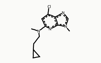 CN(CCC1CC1)c1cc(Cl)c2ncn(C)c2n1